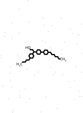 CCCCCCCC1CCC(C2CCC(C(CCO)C3CCC(CCCCC)CC3)CC2)CC1